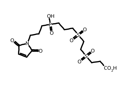 O=C(O)CCS(=O)(=O)CCS(=O)(=O)CCCP(=O)(O)CCCN1C(=O)C=CC1=O